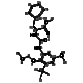 COCOc1c(NC(=O)N[C@@H](Cc2ccccc2)C(=O)OC)cc(OC)cc1C(C)(C)C